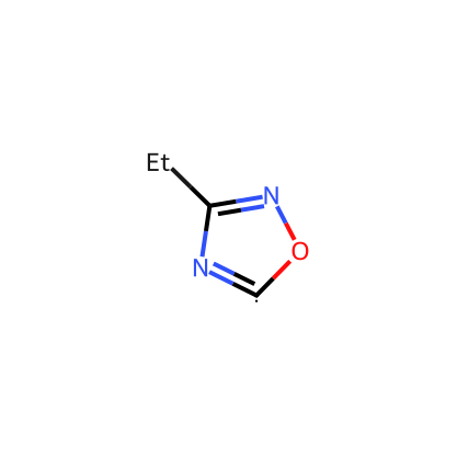 CCc1n[c]on1